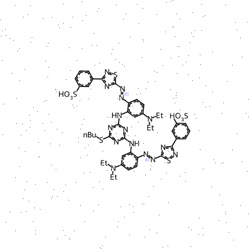 CCCCSc1nc(Nc2cc(N(CC)CC)ccc2/N=N/c2nc(-c3cccc(S(=O)(=O)O)c3)ns2)nc(Nc2cc(N(CC)CC)ccc2/N=N/c2nc(-c3cccc(S(=O)(=O)O)c3)ns2)n1